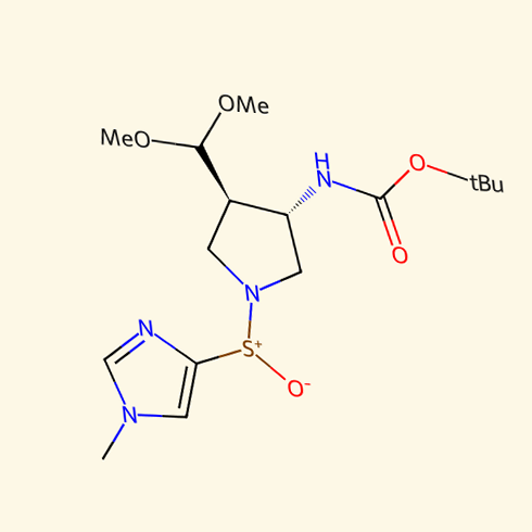 COC(OC)[C@@H]1CN([S+]([O-])c2cn(C)cn2)C[C@H]1NC(=O)OC(C)(C)C